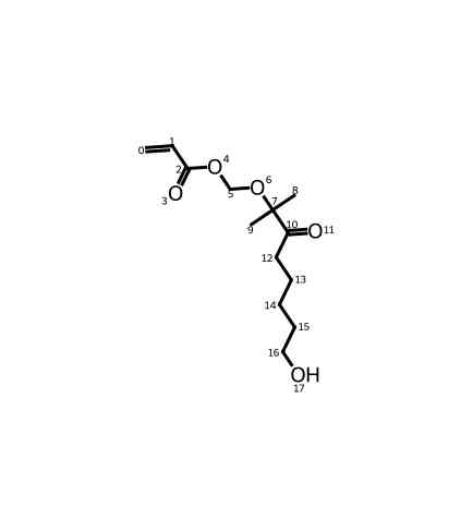 C=CC(=O)OCOC(C)(C)C(=O)CCCCCO